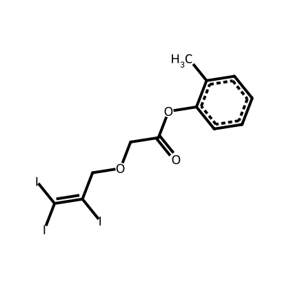 Cc1ccccc1OC(=O)COCC(I)=C(I)I